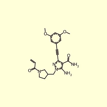 C=CC(=O)N1CCC(Cn2nc(C#Cc3cc(OC)cc(OC)c3)c(C(N)=O)c2N)C1